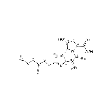 CNC(=O)[C@@H]1C[C@@H](O)CN1C(=O)[C@@H](n1cc(CCC(=O)CCO)nn1)C(C)(C)C